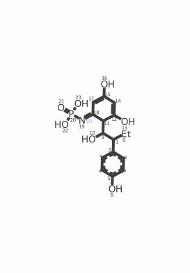 CCC(c1ccc(O)cc1)C(O)C1C(O)=CC(O)=C/C1=N\P(=O)(O)O